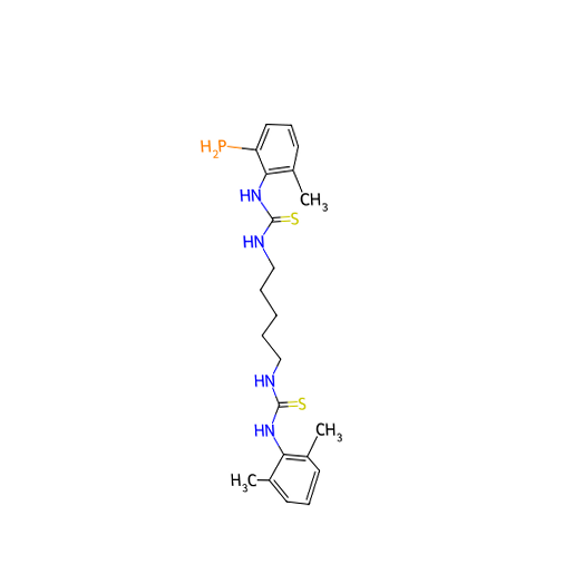 Cc1cccc(C)c1NC(=S)NCCCCCNC(=S)Nc1c(C)cccc1P